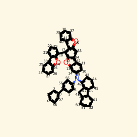 c1ccc(-c2ccc(N(c3ccc4c(c3)oc3c(-c5cccc6c5oc5ccccc56)c5c(cc34)oc3ccccc35)c3cccc4c3Cc3ccccc3-4)cc2)cc1